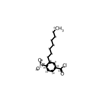 CCCCCCCCc1cc(C(=O)Cl)ccc1[N+](=O)[O-]